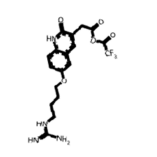 N=C(N)NCCCCOc1ccc2[nH]c(=O)c(CC(=O)OC(=O)C(F)(F)F)cc2c1